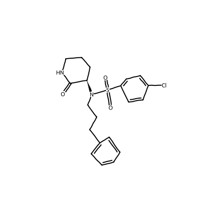 O=C1NCCC[C@H]1N(CCCc1ccccc1)S(=O)(=O)c1ccc(Cl)cc1